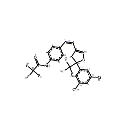 O=C(Nc1ccc(/C=C\C2=NOC(c3cc(Cl)cc(Cl)c3)(C(F)(F)F)C2)cc1)C(F)(F)F